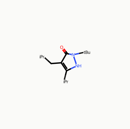 CC(C)Cc1c(C(C)C)[nH]n(C(C)(C)C)c1=O